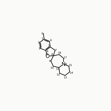 Cc1ccc2c(c1)CC1(CCC3CCCCN3CC1)O2